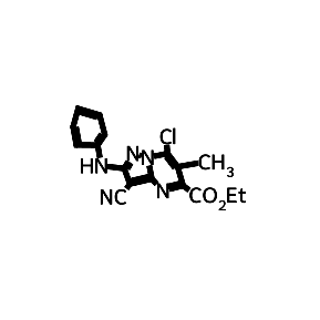 CCOC(=O)c1nc2c(C#N)c(Nc3ccccc3)nn2c(Cl)c1C